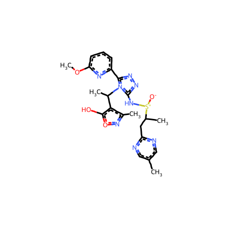 COc1cccc(-c2nnc(N[S+]([O-])C(C)Cc3ncc(C)cn3)n2C(C)c2c(C)noc2O)n1